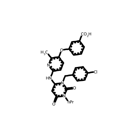 CCCn1c(=O)cc(Nc2ccc(Oc3cccc(C(=O)O)c3)c(C)n2)n(Cc2ccc(Cl)cc2)c1=O